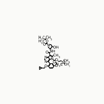 Cc1c(C(=O)N[C@@H]2CN(C(=O)OC(C)(C)C)C[C@H]2O)c2ncnc(-c3c(OCC4CC4)ccc4c3OCO4)c2n1COCC[Si](C)(C)C